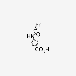 CC(C)SCC(=O)Nc1ccc(C(=O)O)cc1